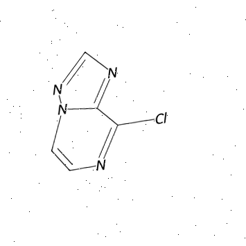 Clc1nccn2ncnc12